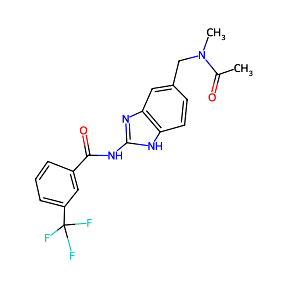 CC(=O)N(C)Cc1ccc2[nH]c(NC(=O)c3cccc(C(F)(F)F)c3)nc2c1